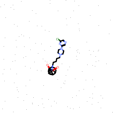 O=C1C2=C3C=CC(CCCC3)C2C(=O)N1CCCCN1CCN(c2cncc(Cl)n2)CC1